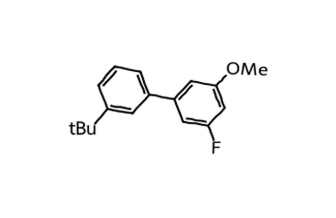 COc1cc(F)cc(-c2cccc(C(C)(C)C)c2)c1